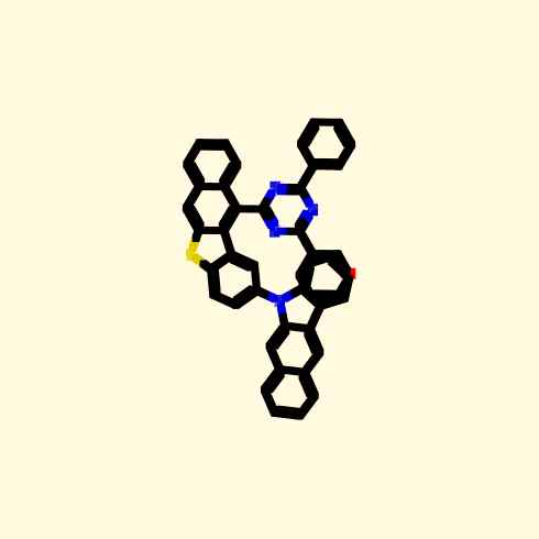 c1ccc(-c2nc(-c3ccccc3)nc(-c3c4ccccc4cc4sc5ccc(-n6c7ccccc7c7cc8ccccc8cc76)cc5c34)n2)cc1